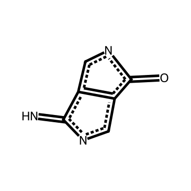 N=c1ncc2c(=O)ncc1=2